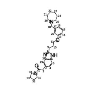 O=C(Cc1ccc2[nH]c(CCCOc3cccc(CN4CCCCCC4)c3)nc2c1)N1CCCC1